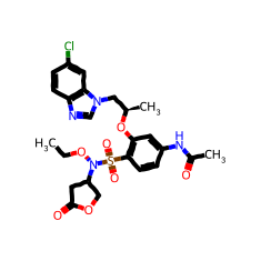 CCON(C1COC(=O)C1)S(=O)(=O)c1ccc(NC(C)=O)cc1O[C@H](C)Cn1cnc2ccc(Cl)cc21